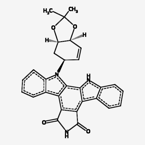 CC1(C)O[C@H]2C=C[C@@H](n3c4ccccc4c4c5c(c6c7ccccc7[nH]c6c43)C(=O)NC5=O)C[C@H]2O1